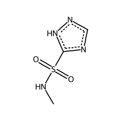 CNS(=O)(=O)c1ncn[nH]1